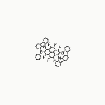 Fc1c2c(c3c(F)c(F)c4c(F)c5c(c6c(F)c(F)c1c3c46)-n1c3ccccc3c3ccc4c(c31)B5c1ccccc1-4)-n1c3ccccc3c3cccc(c31)B2c1ccccc1